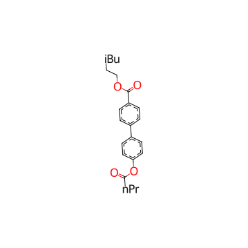 CCCC(=O)Oc1ccc(-c2ccc(C(=O)OCCC(C)CC)cc2)cc1